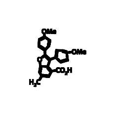 COc1ccc(-c2oc3cc(C)cc(C(=O)O)c3c2-c2ccc(OC)cc2)cc1